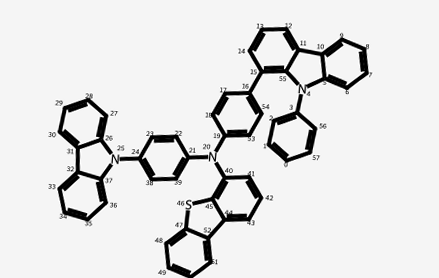 c1ccc(-n2c3ccccc3c3cccc(-c4ccc(N(c5ccc(-n6c7ccccc7c7ccccc76)cc5)c5cccc6c5sc5ccccc56)cc4)c32)cc1